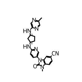 Cc1cnc(N[C@H]2CC[C@H](Nc3ccc(-n4c(=O)n(C)c5ccc(C#N)cc54)cn3)C2)cn1